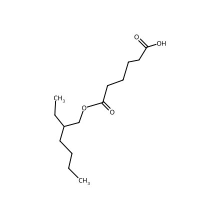 CCCCC(CC)COC(=O)CCCCC(=O)O